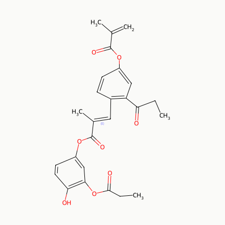 C=C(C)C(=O)Oc1ccc(/C=C(\C)C(=O)Oc2ccc(O)c(OC(=O)CC)c2)c(C(=O)CC)c1